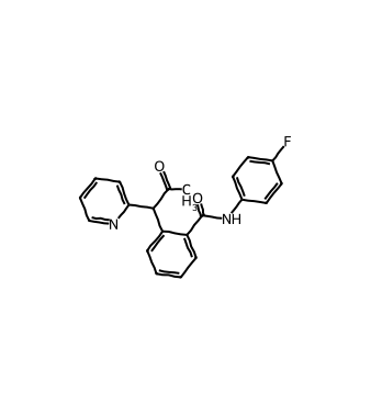 CC(=O)C(c1ccccn1)c1ccccc1C(=O)Nc1ccc(F)cc1